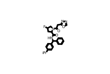 CC(C)c1ccc(C(NC(=O)C2CC(F)CN2C(=O)Cc2nnco2)c2ccccc2)cc1